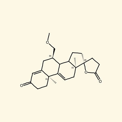 COC[C@@H]1CC2=CC(=O)CC[C@]2(C)C2=CC[C@@]3(C)C(CC[C@@]34CCC(=O)O4)C21